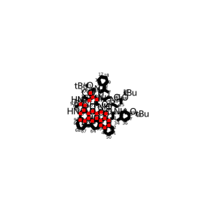 CC(C)C[C@H](NC(=O)[C@H](Cc1cn(C(=O)OC(C)(C)C)c2ccccc12)NC(=O)[C@H](CC(=O)OC(C)(C)C)NC(=O)[C@H](Cc1ccc(OC(C)(C)C)cc1)NC(=O)[C@H](Cc1ccccc1)NC(=O)OCC1c2ccccc2-c2ccccc21)C(=O)N[C@@H](Cc1ccccc1)C(=O)N[C@H](C(=O)N(C)[C@@H](C)C(=O)N[C@H](C)C(=O)N[C@@H](CC(N)=O)C(=O)O)C(C)CBr